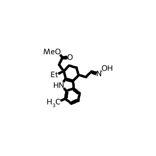 CCC1(CC(=O)OC)CCC(CC=NO)c2c1[nH]c1c(C)cccc21